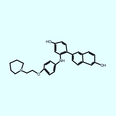 Oc1ccc(-c2ccc3cc(O)ccc3c2)c(Nc2ccc(OCCN3CCCCC3)cc2)c1